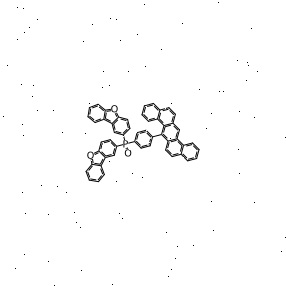 O=P(c1ccc(-c2c3ccc4ccccc4c3cc3ccc4ccccc4c23)cc1)(c1ccc2oc3ccccc3c2c1)c1ccc2oc3ccccc3c2c1